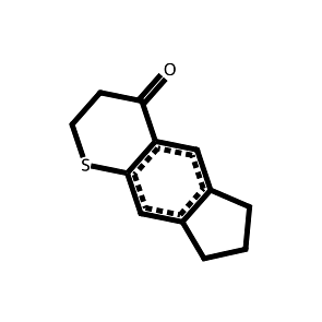 O=C1CCSc2cc3c(cc21)CCC3